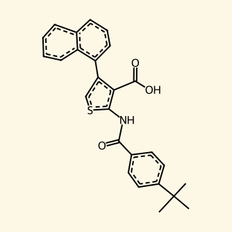 CC(C)(C)c1ccc(C(=O)Nc2scc(-c3cccc4ccccc34)c2C(=O)O)cc1